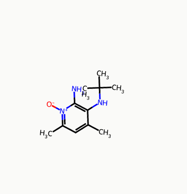 Cc1cc(C)[n+]([O-])c(N)c1NC(C)(C)C